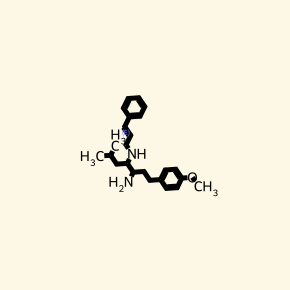 COc1ccc(CCC(N)C(CC(C)C)NC/C=C/c2ccccc2)cc1